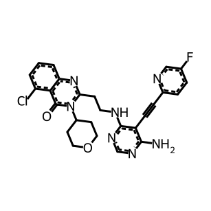 Nc1ncnc(NCCc2nc3cccc(Cl)c3c(=O)n2C2CCOCC2)c1C#Cc1ccc(F)cn1